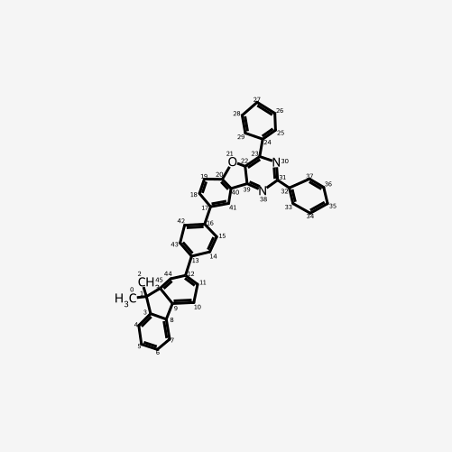 CC1(C)c2ccccc2-c2ccc(-c3ccc(-c4ccc5oc6c(-c7ccccc7)nc(-c7ccccc7)nc6c5c4)cc3)cc21